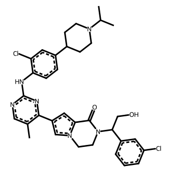 Cc1cnc(Nc2ccc(C3CCN(C(C)C)CC3)cc2Cl)nc1-c1cc2n(c1)CCN(C(CO)c1cccc(Cl)c1)C2=O